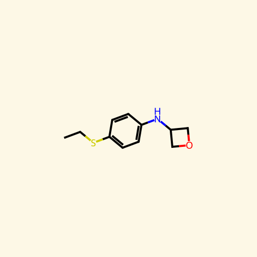 CCSc1ccc(NC2COC2)cc1